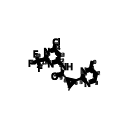 Cc1ccnc([C@H]2C[C@@H]2C(=O)Nc2cc(Cl)nc(C(F)(F)F)n2)n1